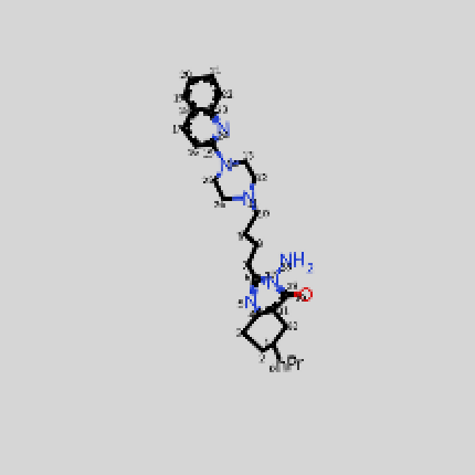 CCCC1CCc2nc(CCCCN3CCN(c4ccc5ccccc5n4)CC3)n(N)c(=O)c2C1